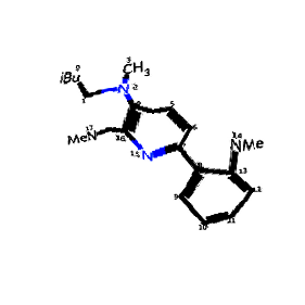 CCC(C)CN(C)c1ccc(-c2ccccc2NC)nc1NC